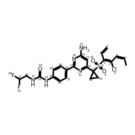 C=C/C(=C(Cl)\C=C/C)S(=O)(=O)C1(c2cc(N)nc(-c3ccc(NC(=O)NCC(F)F)cc3)n2)CC1